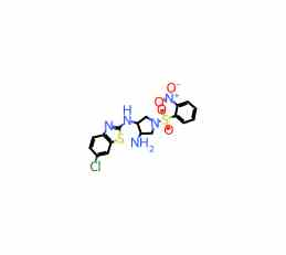 NC1CN(S(=O)(=O)c2ccccc2[N+](=O)[O-])CC1Nc1nc2ccc(Cl)cc2s1